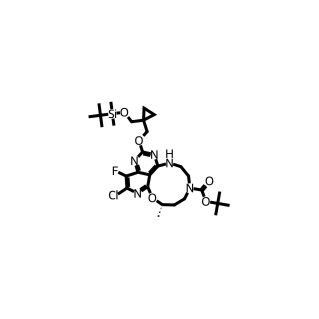 C[C@H]1CCN(C(=O)OC(C)(C)C)CCNc2nc(OCC3(CO[Si](C)(C)C(C)(C)C)CC3)nc3c(F)c(Cl)nc(c23)O1